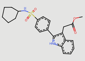 COC(=O)Cc1c(-c2ccc(S(=O)(=O)NC3CCCCC3)cc2)[nH]c2ccccc12